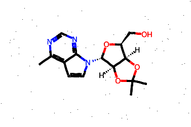 Cc1ncnc2c1ccn2[C@@H]1O[C@@H](CO)[C@H]2OC(C)(C)O[C@H]21